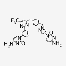 Nc1ccn(-c2cccc(-c3nc(Cc4ccc(Cn5cc(-n6ccc(N)nc6=O)cn5)cc4)cc(C(F)(F)F)n3)c2)c(=O)n1